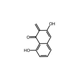 C=C1C(=O)c2c(O)cccc2C=C1O